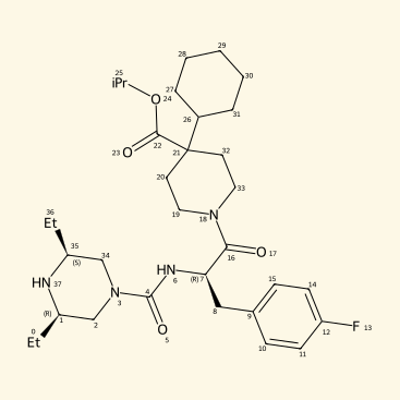 CC[C@@H]1CN(C(=O)N[C@H](Cc2ccc(F)cc2)C(=O)N2CCC(C(=O)OC(C)C)(C3CCCCC3)CC2)C[C@H](CC)N1